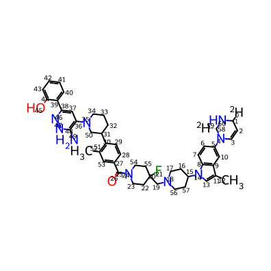 [2H]C1C=CN(c2ccc3c(c2)c(C)cn3C2CCN(CC3(F)CCN(C(=O)c4ccc(C5CCCN(c6cc(-c7ccccc7O)nnc6N)C5)c(C)c4)CC3)CC2)[C@H]([2H])N1